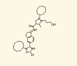 CCC1NC(c2ccc3c(c2)CC[C@H]3NC(=O)C2CN(C3CCCCCCC3)N(CCCO)C2C)N(C2CCCCCCCC2)O1